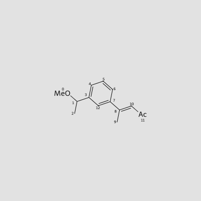 COC(C)c1cccc(C(C)=CC(C)=O)c1